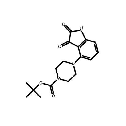 CC(C)(C)OC(=O)N1CCN(c2cccc3c2C(=O)C(=O)N3)CC1